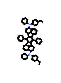 CCc1ccc(N(c2ccccc2)c2ccc3c4c(-c5ccccc5)c5c6cccc7c(N(c8ccccc8)c8ccc(CC)cc8)ccc(c5c(-c5ccccc5)c4c4cccc2c43)c76)cc1